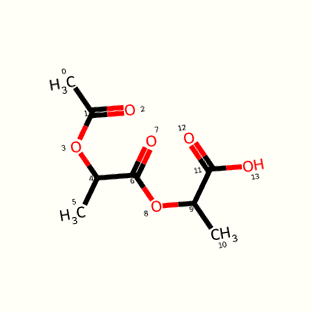 CC(=O)OC(C)C(=O)OC(C)C(=O)O